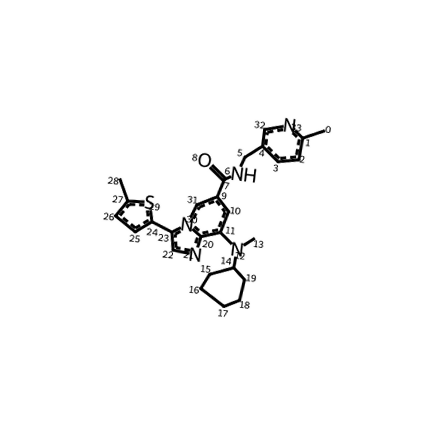 Cc1ccc(CNC(=O)c2cc(N(C)C3CCCCC3)c3ncc(-c4ccc(C)s4)n3c2)cn1